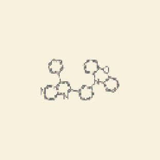 c1ccc(-c2cc(-c3cccc(N4c5ccccc5Oc5ccccc54)c3)nc3ccncc23)cc1